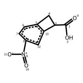 O=C(O)C1Cc2ccc([N+](=O)[O-])cc21